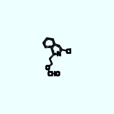 O=COCCc1nc(Cl)cc2ccccc12